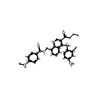 CCCC(=O)c1cnc2c(COC(=O)c3ccc(OC)cc3)cccc2c1Nc1ccc(O)cc1C